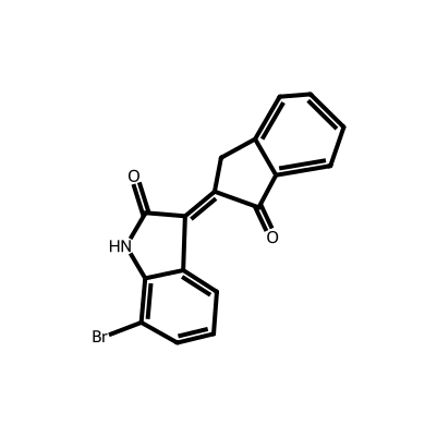 O=C1Nc2c(Br)cccc2/C1=C1/Cc2ccccc2C1=O